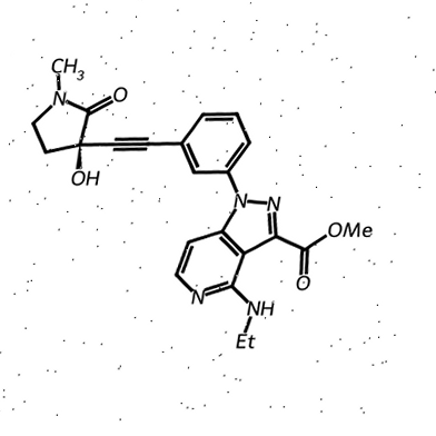 CCNc1nccc2c1c(C(=O)OC)nn2-c1cccc(C#C[C@]2(O)CCN(C)C2=O)c1